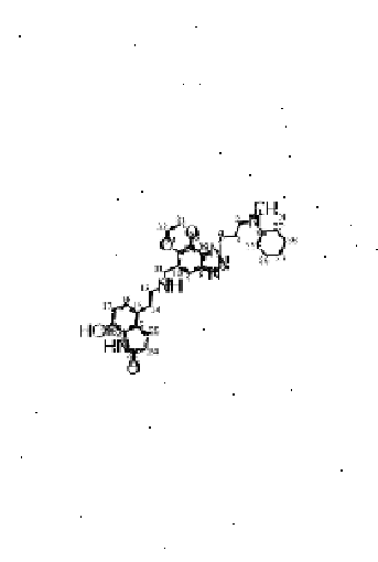 CN(CCCn1nnc2cc(CNCCc3ccc(O)c4[nH]c(=O)ccc34)c3c(c21)OCCO3)C1CCCCC1